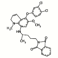 COc1cc(NC(C)CCCN2C(=O)c3ccccc3C2=O)c2c(c1Oc1ccc(Cl)c(Cl)c1)C=CCN2C